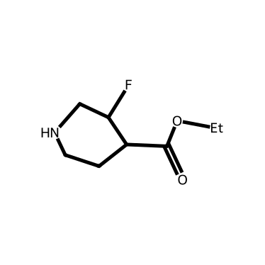 CCOC(=O)C1CCNCC1F